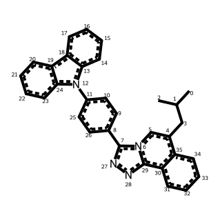 CC(C)Cc1cn2c(-c3ccc(-n4c5ccccc5c5ccccc54)cc3)nnc2c2ccccc12